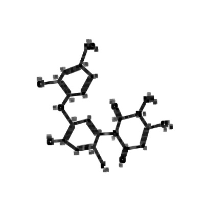 Nn1c(C(F)(F)F)cc(=O)n(-c2cc(Oc3ccc([N+](=O)[O-])cc3Cl)c(Cl)cc2F)c1=O